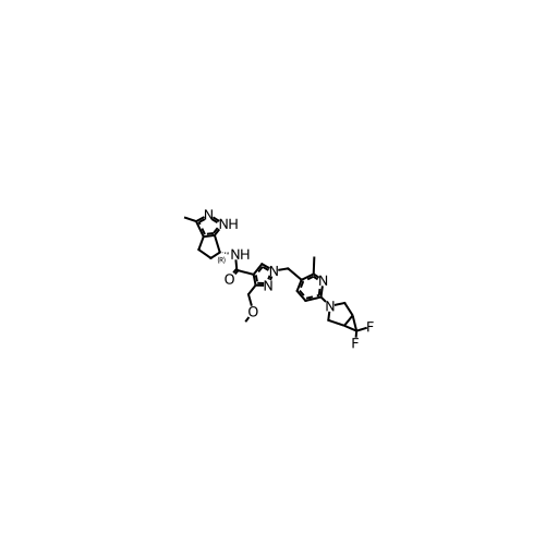 COCc1nn(Cc2ccc(N3CC4C(C3)C4(F)F)nc2C)cc1C(=O)N[C@@H]1CCc2c(C)n[nH]c21